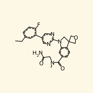 CCc1ccc(F)c(-c2cnc(N3CC4(COC4)c4ccc(C(=O)N(C)CC(N)=O)cc43)nc2)c1